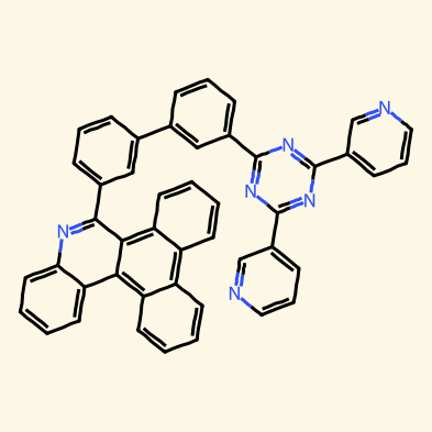 c1cncc(-c2nc(-c3cccnc3)nc(-c3cccc(-c4cccc(-c5nc6ccccc6c6c7ccccc7c7ccccc7c56)c4)c3)n2)c1